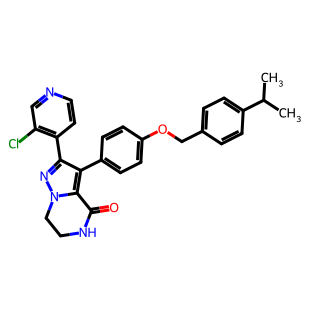 CC(C)c1ccc(COc2ccc(-c3c(-c4ccncc4Cl)nn4c3C(=O)NCC4)cc2)cc1